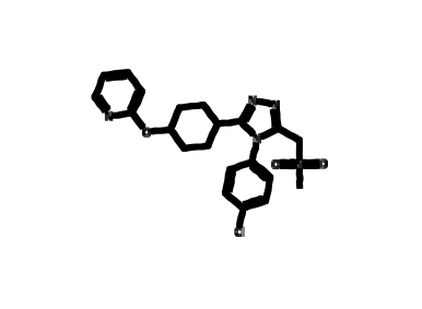 CS(=O)(=O)Cc1nnc(C2CCC(Oc3ccccn3)CC2)n1-c1ccc(Cl)cc1